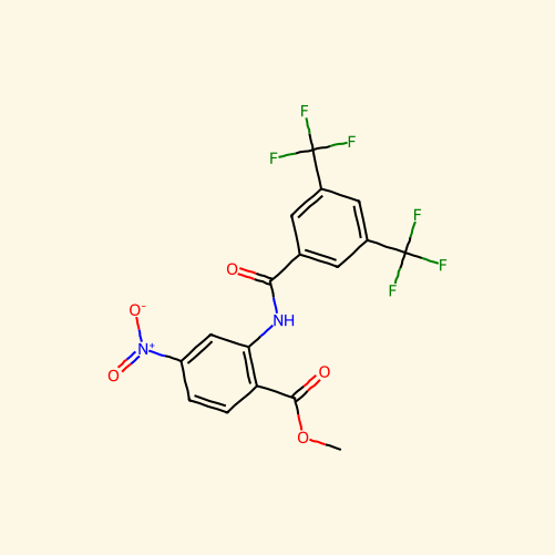 COC(=O)c1ccc([N+](=O)[O-])cc1NC(=O)c1cc(C(F)(F)F)cc(C(F)(F)F)c1